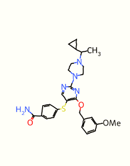 COc1cccc(COc2nc(N3CCN(C(C)C4CC4)CC3)ncc2Sc2ccc(C(N)=O)cc2)c1